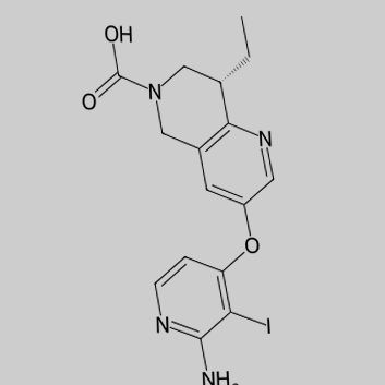 CC[C@H]1CN(C(=O)O)Cc2cc(Oc3ccnc(N)c3I)cnc21